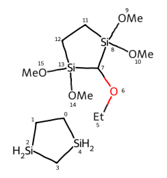 C1C[SiH2]C[SiH2]1.CCOC1[Si](OC)(OC)CC[Si]1(OC)OC